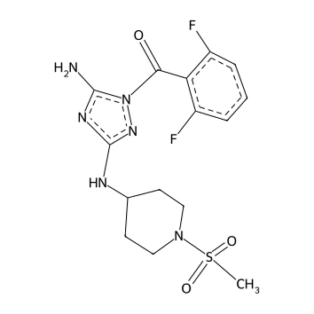 CS(=O)(=O)N1CCC(Nc2nc(N)n(C(=O)c3c(F)cccc3F)n2)CC1